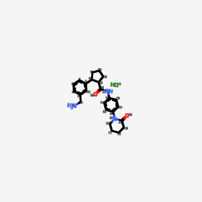 Cl.NCc1cccc(C2CCCC2C(=O)Nc2ccc(N3CCCCC3=O)cc2)c1